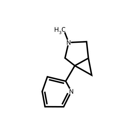 CN1CC2CC2(c2ccccn2)C1